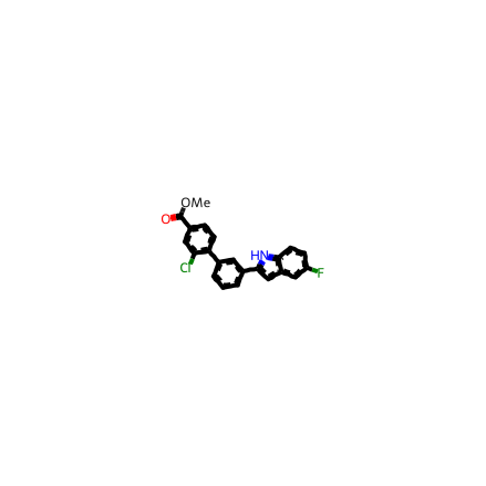 COC(=O)c1ccc(-c2cccc(-c3cc4cc(F)ccc4[nH]3)c2)c(Cl)c1